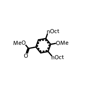 CCCCCCCCc1cc(C(=O)OC)cc(CCCCCCCC)c1OC